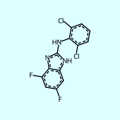 Fc1cc(F)c2nc(Nc3c(Cl)cccc3Cl)[nH]c2c1